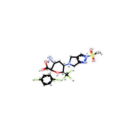 CS(=O)(=O)n1cc2c(n1)CN([C@@H]1C[C@H](N)[C@@](C(=O)O)(c3cc(F)ccc3F)O[C@@H]1C(F)(F)F)C2